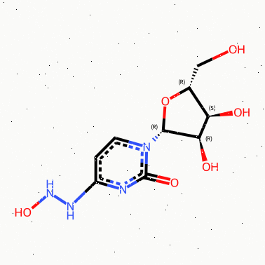 O=c1nc(NNO)ccn1[C@@H]1O[C@H](CO)[C@@H](O)[C@H]1O